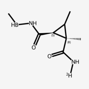 [2H]NC(=O)[C@]1(C)C(C)[C@@H]1C(=O)NBC